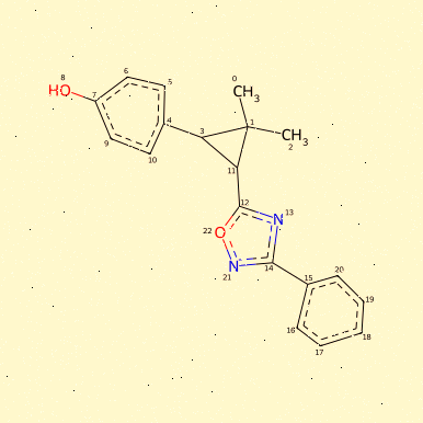 CC1(C)C(c2ccc(O)cc2)C1c1nc(-c2ccccc2)no1